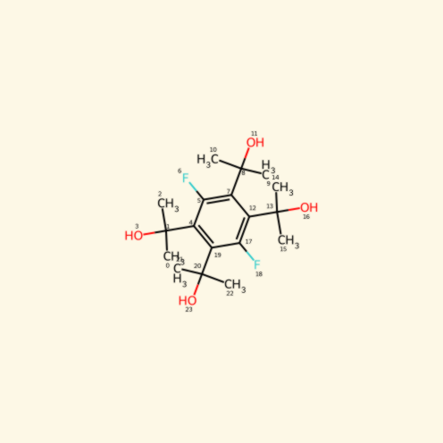 CC(C)(O)c1c(F)c(C(C)(C)O)c(C(C)(C)O)c(F)c1C(C)(C)O